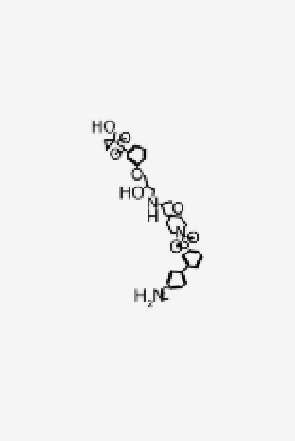 NCc1ccc(-c2cccc(S(=O)(=O)N3CCC4(CC3)C[C@@H](NCC(O)COc3cccc(S(=O)(=O)C5(CO)CC5)c3)CO4)c2)cc1